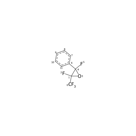 FC(F)(F)C1(F)OC1(F)c1ccccc1